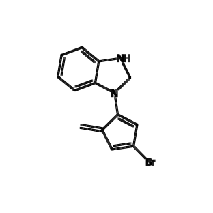 C=C1C=C(Br)C=C1N1CNc2ccccc21